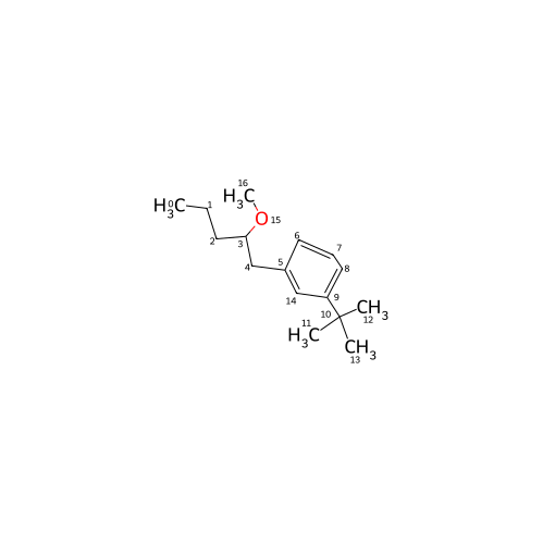 CCCC(Cc1cccc(C(C)(C)C)c1)OC